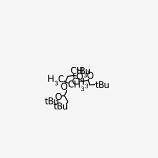 CC(C)(C)CC(COC(C)(C)CC(C)(C)OCC(CC(C)(C)C)OC(C)(C)C)OC(C)(C)C